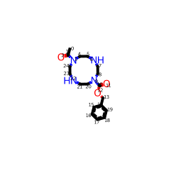 CC(=O)N1CCNCCN(C(=O)OCc2ccccc2)CCNCC1